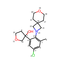 Cc1cc(Cl)cc(C2(O)CCOC2)c1N1CC2(CCOCC2)C1